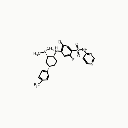 CN(C)[C@H]1C[C@@H](c2ccc(C(F)(F)F)cc2)CC[C@@H]1Nc1cc(F)c(S(=O)(=O)Nc2ccncn2)cc1Cl